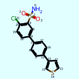 NS(=O)(=O)c1cc(-c2ccc(-c3ccsc3)cc2)ccc1Cl